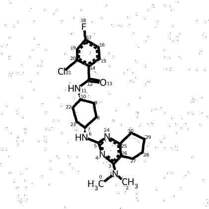 CN(C)c1nc(N[C@H]2CC[C@@H](NC(=O)c3ccc(F)cc3Cl)CC2)nc2c1CCCC2